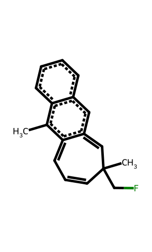 Cc1c2c(cc3ccccc13)=CC(C)(CF)C=CC=2